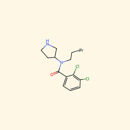 CC(C)CCN(C(=O)c1cccc(Cl)c1Cl)C1CCNC1